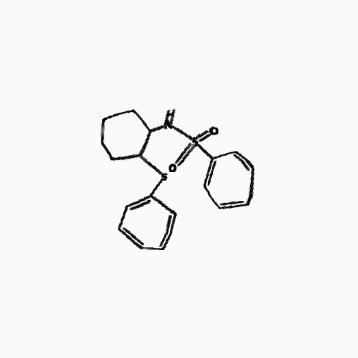 O=S(=O)(NC1CCCCC1Sc1ccccc1)c1ccccc1